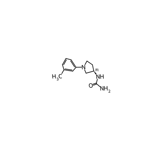 Cc1cccc(N2CC[C@@H](NC(N)=O)C2)c1